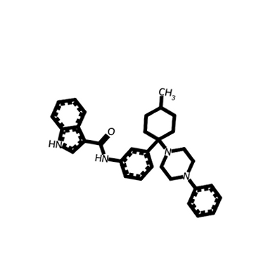 CC1CCC(c2cccc(NC(=O)c3c[nH]c4ccccc34)c2)(N2CCN(c3ccccc3)CC2)CC1